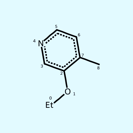 CCOc1cnccc1C